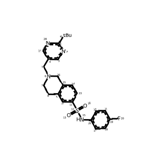 CC(C)(C)c1ncc(CN2CCc3cc(S(=O)(=O)Nc4ccc(F)cc4)ccc3C2)cn1